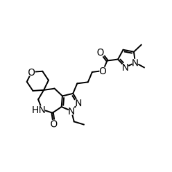 CCn1nc(CCCOC(=O)c2cc(C)n(C)n2)c2c1C(=O)NCC1(CCOCC1)C2